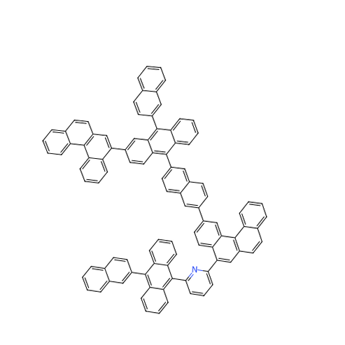 c1cc(-c2c3ccccc3c(-c3ccc4ccccc4c3)c3ccccc23)nc(-c2cc3ccc4ccccc4c3c3cc(-c4ccc5cc(-c6c7ccccc7c(-c7ccc8ccccc8c7)c7cc(-c8cc9ccc%10ccccc%10c9c9ccccc89)ccc67)ccc5c4)ccc23)c1